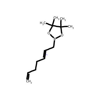 C=CCC/C=C/CB1OC(C)(C)C(C)(C)O1